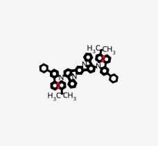 CC(C)c1ccc(N(c2ccc(C3CCCCC3)cc2-c2ccccc2)c2ccc3c4cc5c(cc4n4c6ccccc6c2c34)c2ccc(N(c3ccc(C(C)C)cc3)c3ccc(C4CCCCC4)cc3-c3ccccc3)c3c4ccccc4n5c23)cc1